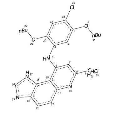 CCCCOc1cc(Nc2cc(C)nc3ccc4nc[nH]c4c23)c(OCCCC)cc1Cl.Cl